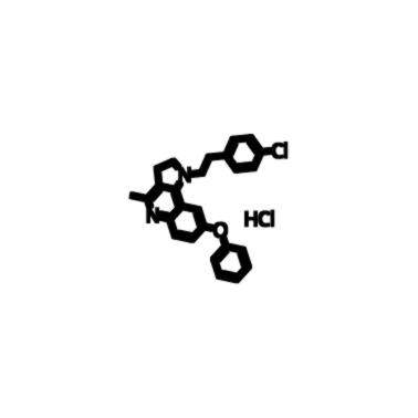 Cc1nc2ccc(Oc3ccccc3)cc2c2c1CCN2CCc1ccc(Cl)cc1.Cl